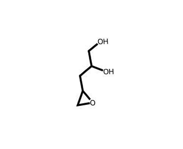 OCC(O)CC1CO1